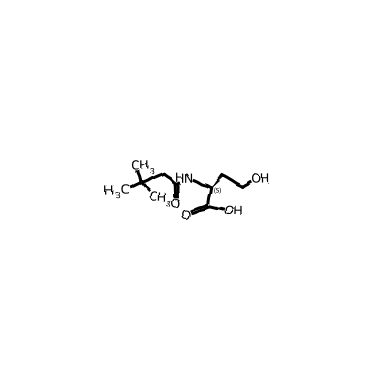 CC(C)(C)CC(=O)N[C@@H](CCO)C(=O)O